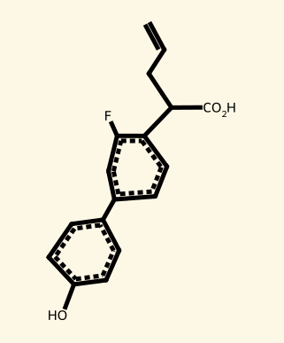 C=CCC(C(=O)O)c1ccc(-c2ccc(O)cc2)cc1F